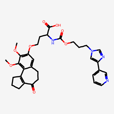 COc1c(OCCC(NC(=O)OCCCn2cnc(-c3cccnc3)c2)C(=O)O)cc2c(c1OC)C1=C(CCC1)C(=O)CC2